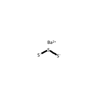 [Ba+2].[S-]S[S-]